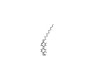 CCCCCCCCCCOc1ccc(-c2ccc(O)cc2)cc1